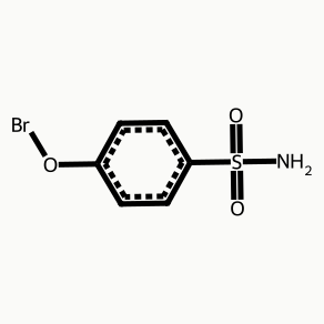 NS(=O)(=O)c1ccc(OBr)cc1